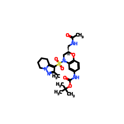 CC(=O)NC[C@H]1CN(S(=O)(=O)c2c(C)nn3c2CCCC3)c2cc(NC(=O)OC(C)(C)C)ccc2O1